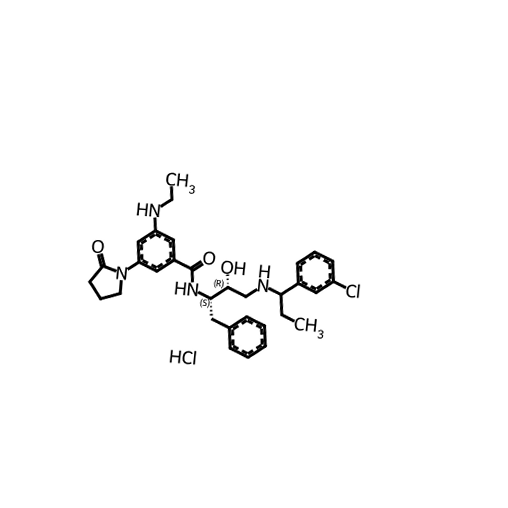 CCNc1cc(C(=O)N[C@@H](Cc2ccccc2)[C@H](O)CNC(CC)c2cccc(Cl)c2)cc(N2CCCC2=O)c1.Cl